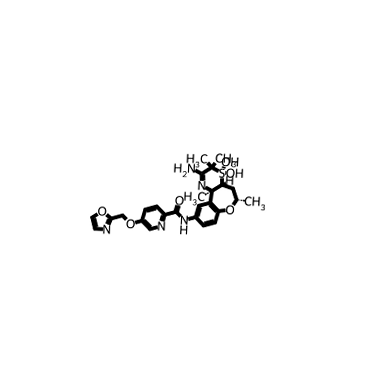 C[C@H]1C[C@@H]2[C@](C)(N=C(N)C(C)(C)S2(O)O)c2cc(NC(=O)c3ccc(OCc4ncco4)cn3)ccc2O1